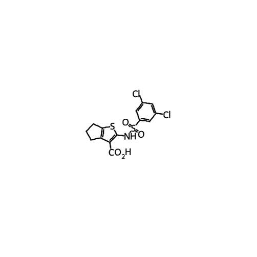 O=C(O)c1c(NS(=O)(=O)c2cc(Cl)cc(Cl)c2)sc2c1CCC2